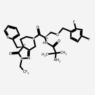 CC(C)(N)C(=O)N[C@H](COCc1ccc(F)cc1F)C(=O)N1CC[C@@]2(Cc3ccccn3)C(=O)N(CC(F)(F)F)N=C2C1